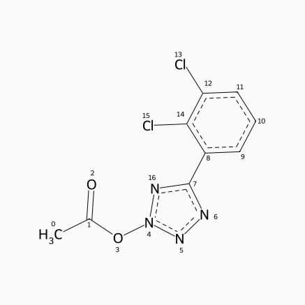 CC(=O)On1nnc(-c2cccc(Cl)c2Cl)n1